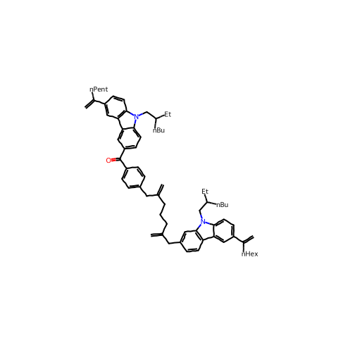 C=C(CCCC(=C)Cc1ccc2c3cc(C(=C)CCCCCC)ccc3n(CC(CC)CCCC)c2c1)Cc1ccc(C(=O)c2ccc3c(c2)c2cc(C(=C)CCCCC)ccc2n3CC(CC)CCCC)cc1